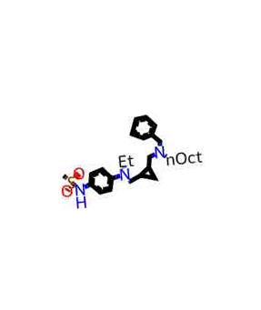 CCCCCCCCN(Cc1ccccc1)CC1CC1CN(CC)c1ccc(NS(C)(=O)=O)cc1